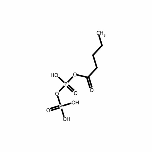 CCCCC(=O)OP(=O)(O)OP(=O)(O)O